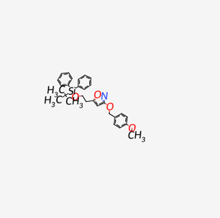 COc1ccc(COc2cc(CCO[Si](c3ccccc3)(c3ccccc3)C(C)(C)C)on2)cc1